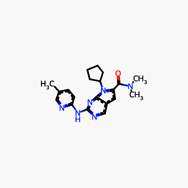 Cc1ccc(Nc2ncc3cc(C(=O)N(C)C)n(C4CCCC4)c3n2)nc1